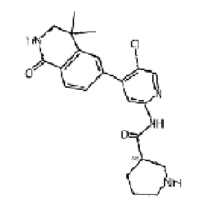 CC1(C)CNC(=O)c2ccc(-c3cc(NC(=O)[C@@H]4CCCNC4)ncc3Cl)cc21